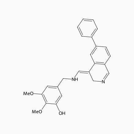 COc1cc(CNC=C2CN=Cc3ccc(-c4ccccc4)cc32)cc(O)c1OC